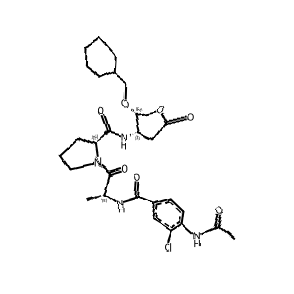 CC(=O)Nc1ccc(C(=O)N[C@@H](C)C(=O)N2CCC[C@H]2C(=O)N[C@H]2CC(=O)O[C@H]2OCC2CCCCC2)cc1Cl